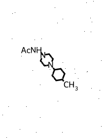 CC(=O)NN1CCN(C2CCC(C)CC2)CC1